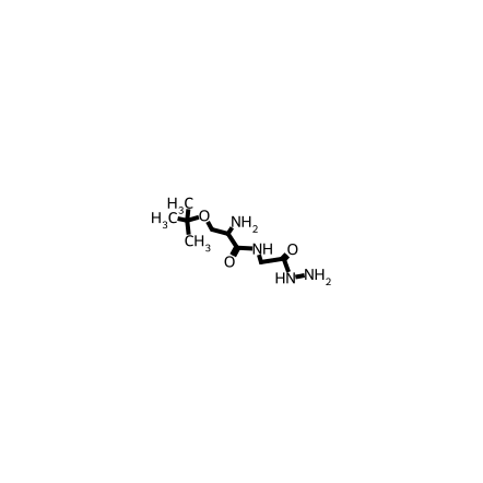 CC(C)(C)OCC(N)C(=O)NCC(=O)NN